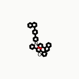 c1ccc(N(c2ccc(-c3ccc(-c4cccc5ccccc45)cc3)cc2)c2ccc(-c3cccc4ccccc34)cc2)c(-c2ccc3c(c2)oc2ccccc23)c1